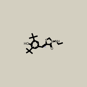 CCNN1CS/C(=C\c2cc(C(C)(C)C)c(O)c(C(C)(C)C)c2)C1=O